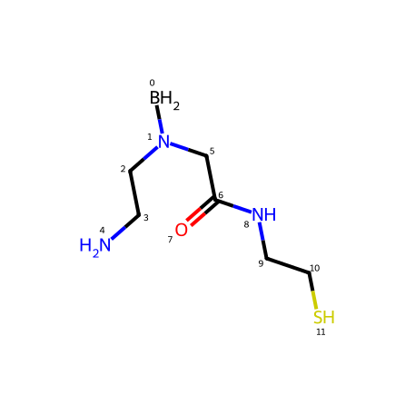 BN(CCN)CC(=O)NCCS